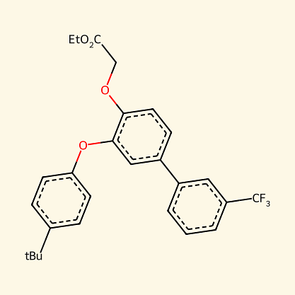 CCOC(=O)COc1ccc(-c2cccc(C(F)(F)F)c2)cc1Oc1ccc(C(C)(C)C)cc1